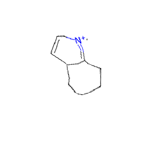 C1=CC2CCCCC2=[N+]1